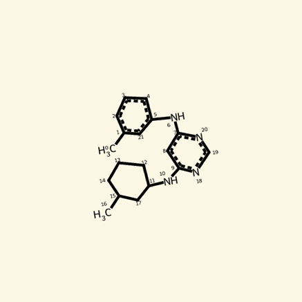 Cc1cccc(Nc2cc(NC3CCCC(C)C3)ncn2)c1